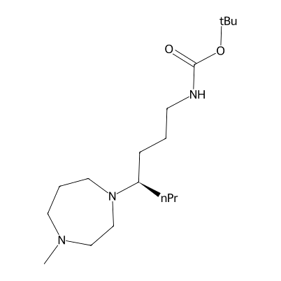 CCC[C@H](CCCNC(=O)OC(C)(C)C)N1CCCN(C)CC1